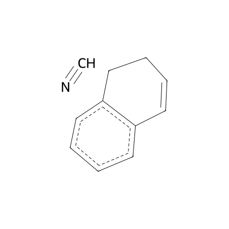 C#N.C1=Cc2ccccc2CC1